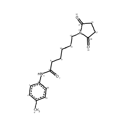 Cc1ccc(NC(=O)CCCCCN2C(=O)CCC2=O)cc1